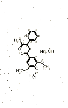 COc1cc(C(=O)CC(C(N)=O)c2ccccn2)cc(OC)c1OC.Cl.Cl